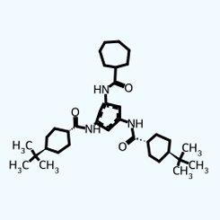 CC(C)(C)[C@H]1CC[C@H](C(=O)Nc2cc(NC(=O)C3CCCCCC3)cc(NC(=O)[C@H]3CC[C@H](C(C)(C)C)CC3)c2)CC1